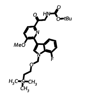 COc1ccc(C(=O)CNC(=O)OC(C)(C)C)nc1-c1cn(COCC[Si](C)(C)C)c2c(F)cccc12